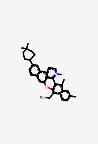 Cc1ccc2c(CC(C)(C)C)c3c(c(C)c2c1)-c1c2c(cc4ccc(C5CCC(C)(C)CC5)cc4c2cc[n+]1C)O3